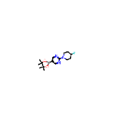 CC1(C)OB(c2cnc(N3CCC(F)CC3)nc2)OC1(C)C